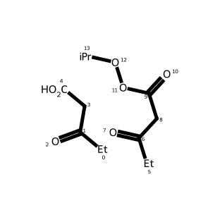 CCC(=O)CC(=O)O.CCC(=O)CC(=O)OOC(C)C